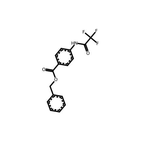 O=C(OCc1ccccc1)c1ccc(NC(=O)C(F)(F)F)cc1